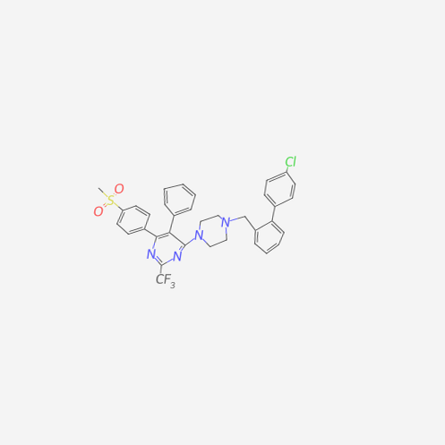 CS(=O)(=O)c1ccc(-c2nc(C(F)(F)F)nc(N3CCN(Cc4ccccc4-c4ccc(Cl)cc4)CC3)c2-c2ccccc2)cc1